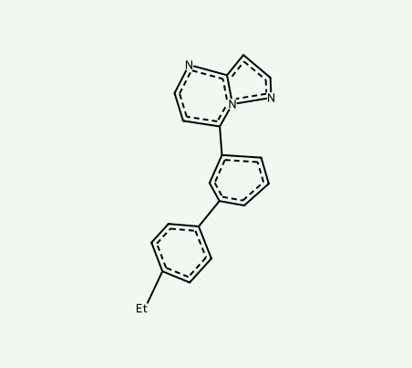 CCc1ccc(-c2cccc(-c3ccnc4ccnn34)c2)cc1